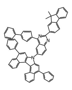 CC1(C)c2ccccc2-c2ccc(-c3nc(-c4ccc(-c5ccccc5)cc4)c4cc(-n5c6cc(-c7ccccc7)c7ccccc7c6c6c7ccccc7c(-c7ccccc7)cc65)ccc4n3)cc21